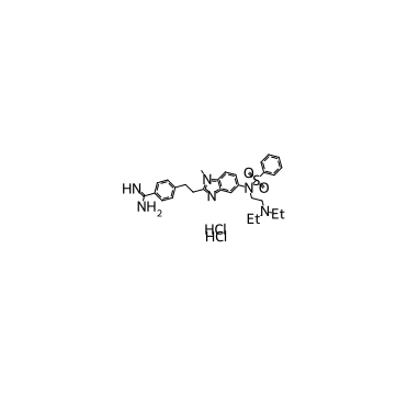 CCN(CC)CCN(c1ccc2c(c1)nc(CCc1ccc(C(=N)N)cc1)n2C)S(=O)(=O)c1ccccc1.Cl.Cl